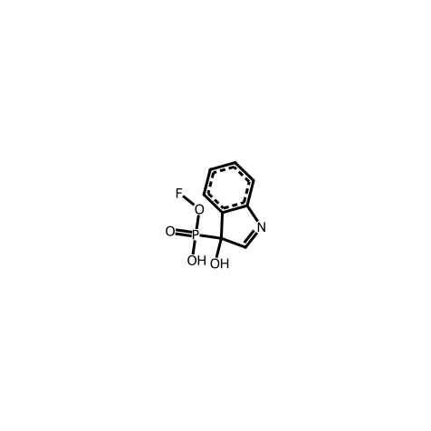 O=P(O)(OF)C1(O)C=Nc2ccccc21